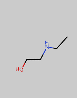 CCN[CH]CO